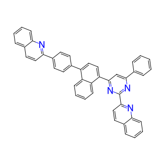 c1ccc(-c2cc(-c3ccc(-c4ccc(-c5ccc6ccccc6n5)cc4)c4ccccc34)nc(-c3ccc4ccccc4n3)n2)cc1